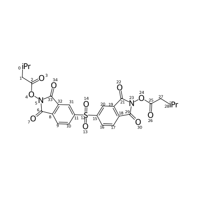 CC(C)CC(=O)ON1C(=O)c2ccc(S(=O)(=O)c3ccc4c(c3)C(=O)N(OC(=O)CC(C)C)C4=O)cc2C1=O